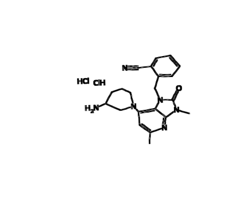 Cc1cc(N2CCCC(N)C2)c2c(n1)n(C)c(=O)n2Cc1ccccc1C#N.Cl.Cl